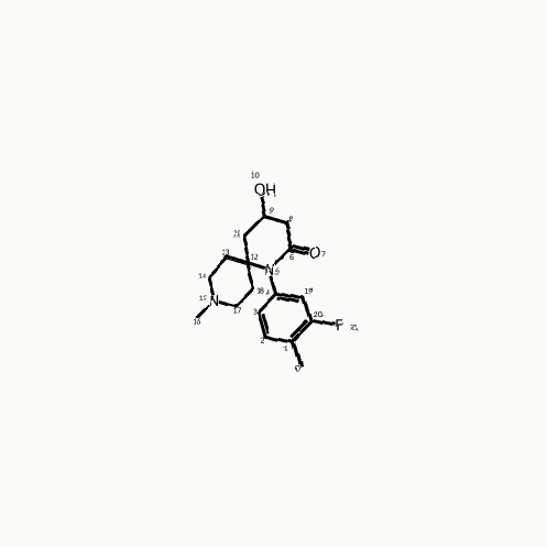 Cc1ccc(N2C(=O)CC(O)CC23CCN(C)CC3)cc1F